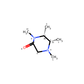 C[C@@H]1[C@H](C)N(C)CC(=O)N1C